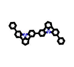 c1ccc(-c2ccc3c4cccc5c6cc(-c7ccc8c(c7)c7cccc9c%10ccc(-c%11ccccc%11)cc%10n8c79)ccc6n(c3c2)c54)cc1